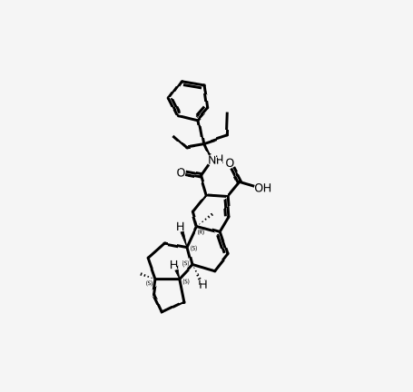 CCC(CC)(NC(=O)C1C[C@@]2(C)C(=CC[C@H]3[C@@H]4CCC[C@@]4(C)CC[C@@H]32)C=C1C(=O)O)c1ccccc1